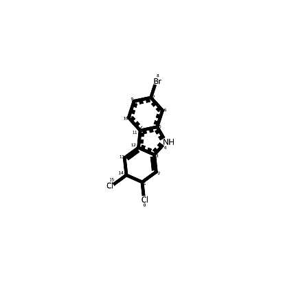 ClC1C=c2[nH]c3cc(Br)ccc3c2=CC1Cl